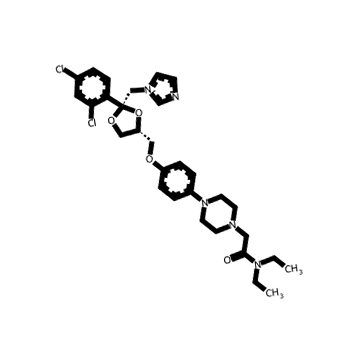 CCN(CC)C(=O)CN1CCN(c2ccc(OC[C@@H]3CO[C@@](Cn4ccnc4)(c4ccc(Cl)cc4Cl)O3)cc2)CC1